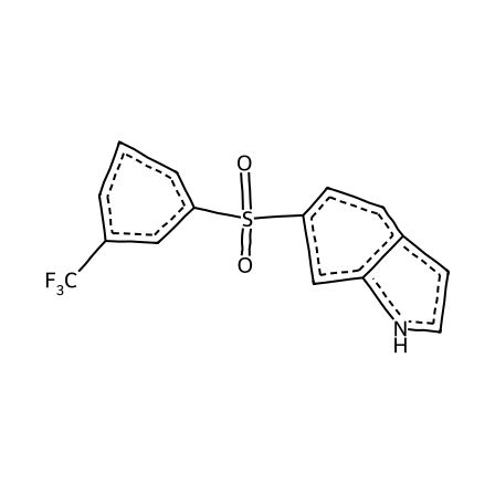 O=S(=O)(c1cccc(C(F)(F)F)c1)c1ccc2cc[nH]c2c1